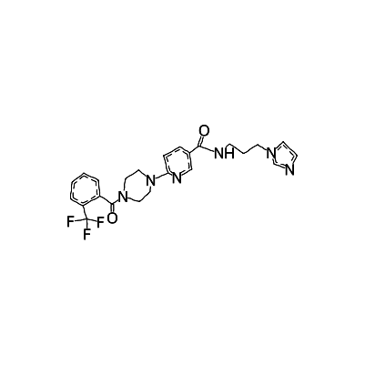 O=C(NCCCn1ccnc1)c1ccc(N2CCN(C(=O)c3ccccc3C(F)(F)F)CC2)nc1